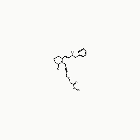 CC(C)OC(=O)COCC#CCN1C(=O)CCCC1/C=C/[C@H](O)Cc1ccccc1